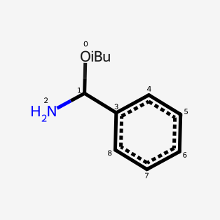 CC(C)COC(N)c1ccccc1